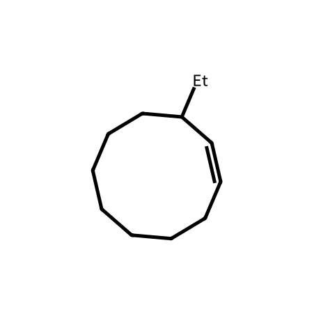 [CH2]CC1C=CCCCCCCC1